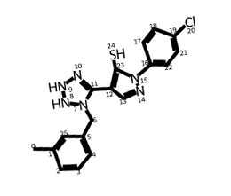 Cc1cccc(CN2NNN=C2c2cnn(-c3ccc(Cl)cc3)c2S)c1